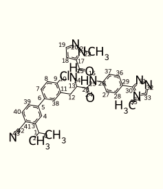 CC(C)c1cc(-c2ccc(Cl)c(CC(NC(=O)c3ccnn3C)C(=O)Nc3ccc(-c4nncn4C)cc3)c2)ccc1C#N